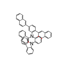 c1ccc(-n2c3ccccc3c3ccccc32)c(N(c2cc(-c3ccc4ccccc4c3)ccc2-c2ccc3ccccc3c2)c2cccc3ccccc23)c1